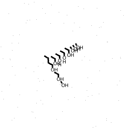 CCCCO.CCO.CCO.CCO.CCO.CCO.CO.CO.CO.CO